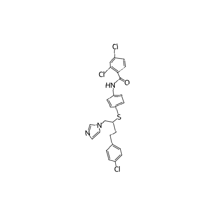 O=C(Nc1ccc(SC(CCc2ccc(Cl)cc2)Cn2ccnc2)cc1)c1ccc(Cl)cc1Cl